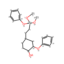 CCO[Si](CCC1CCC(O)C(Oc2ccccc2)C1)(OCC)Oc1ccccc1